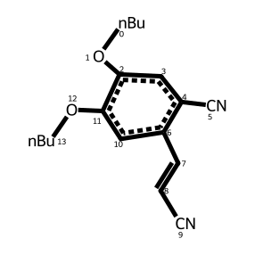 CCCCOc1cc(C#N)c(/C=C/C#N)cc1OCCCC